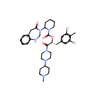 Cc1c(Cl)cc(C[C@@H](OC(=O)N2CCCCC2N2CNc3ccccc3CC2=O)C(=O)N2CCN(C3CCN(C)CC3)CC2)cc1Cl